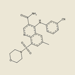 Cc1cc(S(=O)(=O)N2CCOCC2)c2ncc(C(N)=O)c(Nc3cccc(C#N)c3)c2c1